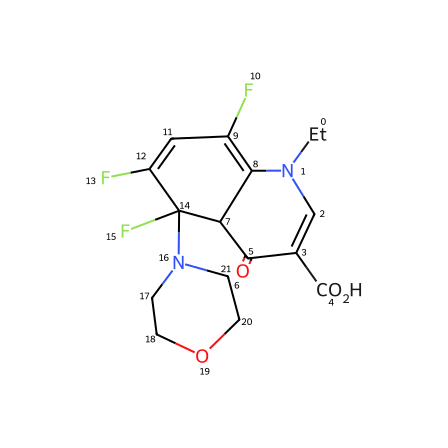 CCN1C=C(C(=O)O)C(=O)C2C1=C(F)C=C(F)C2(F)N1CCOCC1